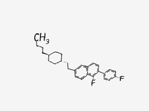 CCCC[C@H]1CC[C@H](CCc2ccc3c(F)c(-c4ccc(F)cc4)ccc3c2)CC1